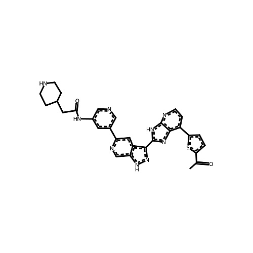 CC(=O)c1ccc(-c2ccnc3[nH]c(-c4n[nH]c5cnc(-c6cncc(NC(=O)CC7CCNCC7)c6)cc45)nc23)s1